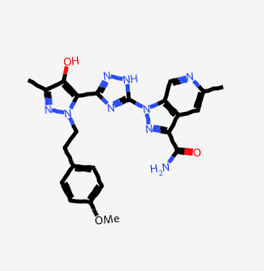 COc1ccc(CCn2nc(C)c(O)c2-c2n[nH]c(-n3nc(C(N)=O)c4cc(C)ncc43)n2)cc1